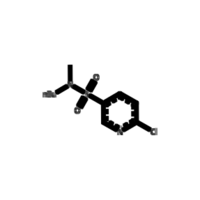 CCCCN(C)S(=O)(=O)c1ccc(Cl)nc1